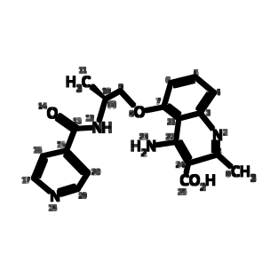 Cc1nc2cccc(OC[C@H](C)NC(=O)c3ccncc3)c2c(N)c1C(=O)O